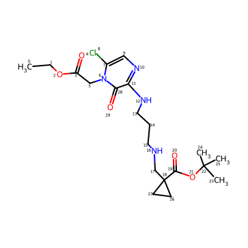 CCOC(=O)Cn1c(Cl)cnc(NCCCNCC2(C(=O)OC(C)(C)C)CC2)c1=O